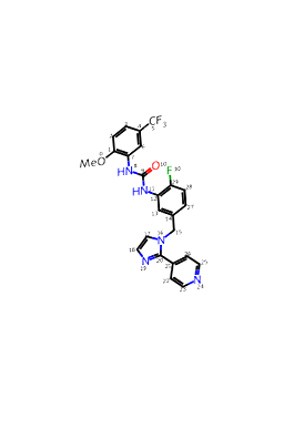 COc1ccc(C(F)(F)F)cc1NC(=O)Nc1cc(Cn2ccnc2-c2ccncc2)ccc1F